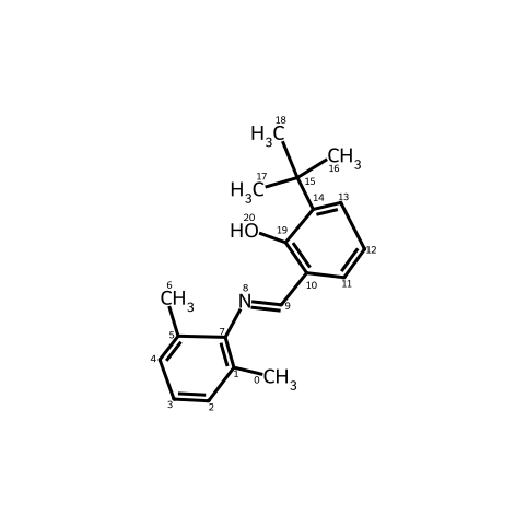 Cc1cccc(C)c1N=Cc1cccc(C(C)(C)C)c1O